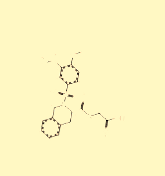 COc1ccc(S(=O)(=O)N2Cc3ccccc3C[C@H]2C(=O)NCC(=O)O)cc1OC